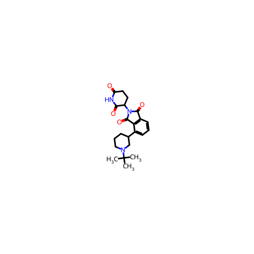 CC(C)(C)N1CCCC(c2cccc3c2C(=O)N(C2CCC(=O)NC2=O)C3=O)C1